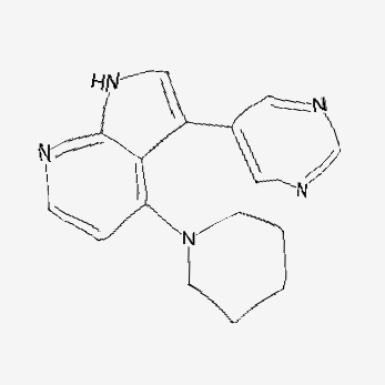 c1ncc(-c2c[nH]c3nccc(N4CCCCC4)c23)cn1